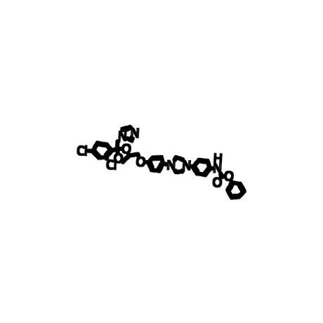 O=C(Nc1ccc(N2CCN(c3ccc(OCC4COC(Cn5ccnc5)(c5ccc(Cl)cc5Cl)O4)cc3)CC2)cc1)Oc1ccccc1